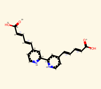 O=C(O)/C=C/C=C/c1ccnc(-c2cc(/C=C/C=C/C(=O)O)ccn2)c1